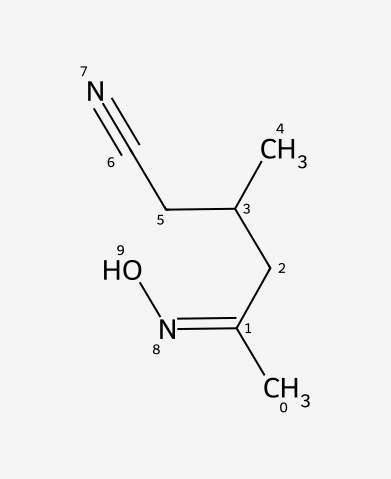 CC(CC(C)CC#N)=NO